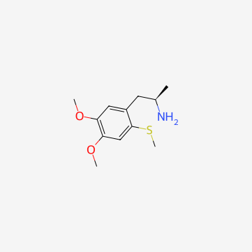 COc1cc(C[C@@H](C)N)c(SC)cc1OC